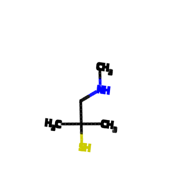 CNCC(C)(C)S